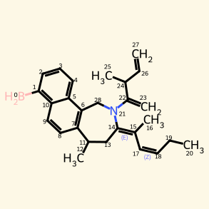 Bc1cccc2c3c(ccc12)C(C)C/C(=C(C)\C=C/CC)N(C(=C)C(C)C=C)C3